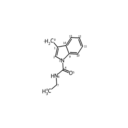 [CH2]c1cn(C(=O)NCC)c2ccccc12